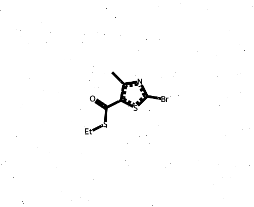 CCSC(=O)c1sc(Br)nc1C